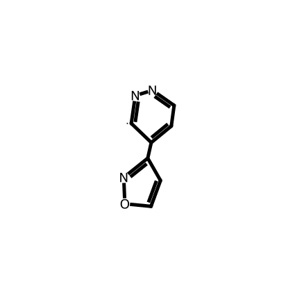 [c]1nnccc1-c1ccon1